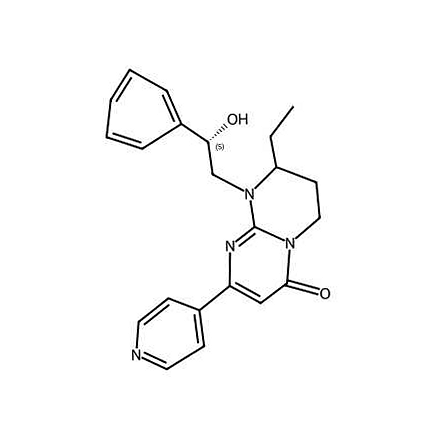 CCC1CCn2c(nc(-c3ccncc3)cc2=O)N1C[C@@H](O)c1ccccc1